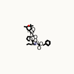 CCC[C@H](/C=N/C(=O)OCc1ccccc1)C(=O)N1CCC[C@H]1C(=O)N(C)C[C@H](CC(C)C)C(=O)C(C)(C)C